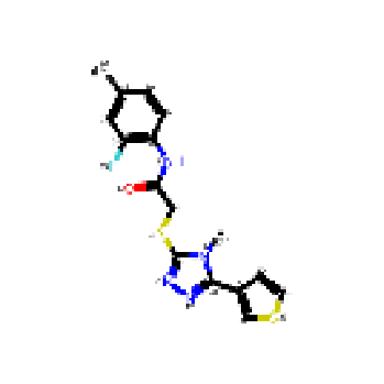 CCn1c(SCC(=O)Nc2ccc(C(C)C)cc2F)nnc1-c1ccsc1